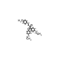 C=CCc1ccc(O)c(-c2cc(CC=C)ccc2OC(=O)/C=C/c2ccc(C)cc2)c1